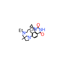 CCN(CCC#N)CC1(C)CCN(c2ccc3c(=O)[nH]c(=O)n(C4CC4)c3c2C)C1